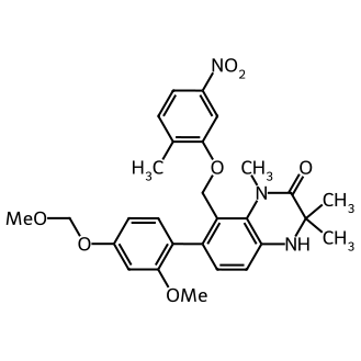 COCOc1ccc(-c2ccc3c(c2COc2cc([N+](=O)[O-])ccc2C)N(C)C(=O)C(C)(C)N3)c(OC)c1